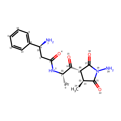 CC(C)[C@H](NC(=O)C[C@H](N)c1ccccc1)C(=O)[C@@H]1C(=O)N(N)C(=O)[C@H]1C